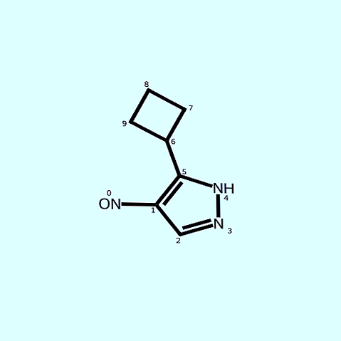 O=Nc1cn[nH]c1C1CCC1